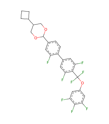 Fc1cc(C2OCC(C3CCC3)CO2)ccc1-c1cc(F)c(C(F)(F)Oc2cc(F)c(F)c(F)c2)c(F)c1